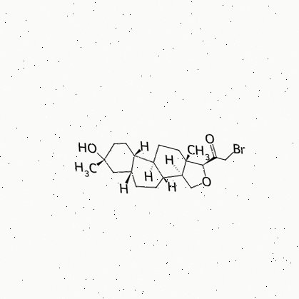 C[C@@]1(O)CC[C@H]2[C@H](CC[C@@H]3[C@@H]2CC[C@]2(C)[C@@H](C(=O)CBr)OC[C@@H]32)C1